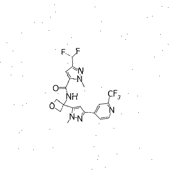 Cn1nc(C(F)F)cc1C(=O)NC1(c2cc(-c3ccnc(C(F)(F)F)c3)nn2C)COC1